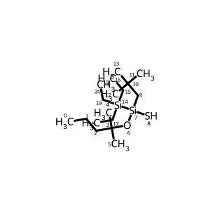 CCCC(C)(C)O[Si](S)(CC(C)(C)C)[Si](CC)(CC)CC